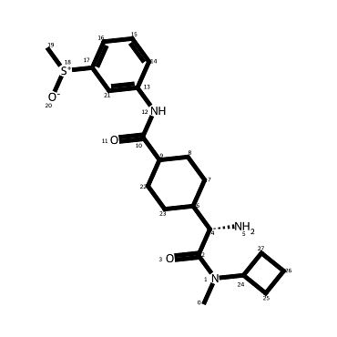 CN(C(=O)[C@@H](N)C1CCC(C(=O)Nc2cccc([S+](C)[O-])c2)CC1)C1CCC1